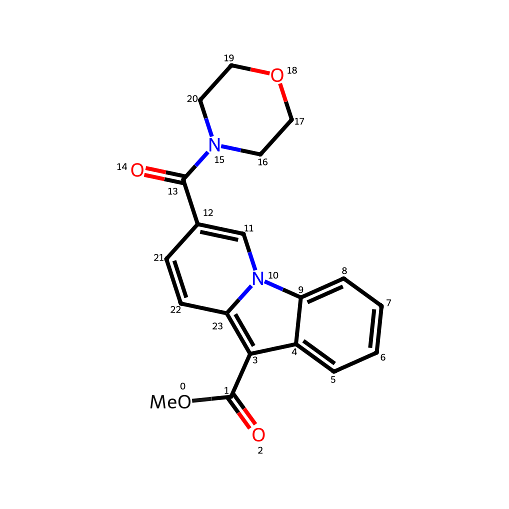 COC(=O)c1c2ccccc2n2cc(C(=O)N3CCOCC3)ccc12